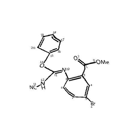 COC(=O)c1cc(Br)ccc1/N=C(\NC#N)Oc1ccccc1